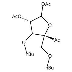 CCCCOC[C@@]1(C(C)=O)OC(OC(C)=O)[C@@H](OC(C)=O)C1OCCCC